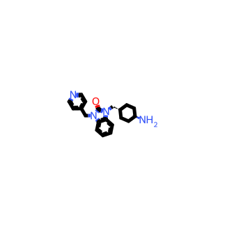 N[C@H]1CC[C@H](Cn2c(=O)n(Cc3ccncc3)c3ccccc32)CC1